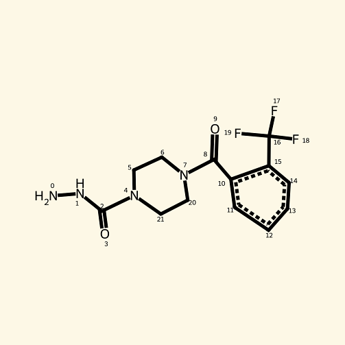 NNC(=O)N1CCN(C(=O)c2ccccc2C(F)(F)F)CC1